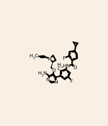 CC#CN1CC[C@H]1COc1c(N)ncnc1-c1cc(F)cc(NC(=O)c2ccc(C3CC3)cc2F)c1C